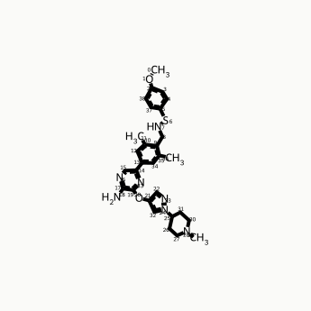 COc1ccc(SNCc2c(C)cc(-c3cnc(N)c(Oc4cnn(C5CCN(C)CC5)c4)n3)cc2C)cc1